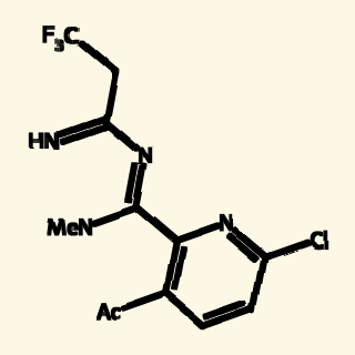 CN/C(=N\C(=N)CC(F)(F)F)c1nc(Cl)ccc1C(C)=O